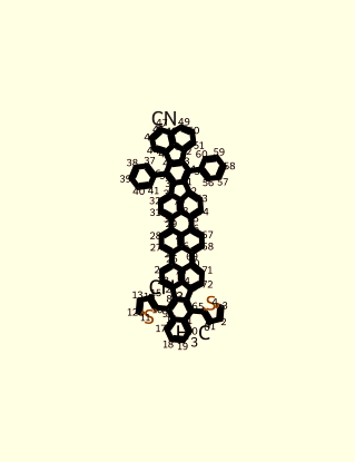 Cc1ccsc1-c1c2c(c(-c3sccc3C)c3ccccc13)-c1ccc3c4ccc5c6ccc7c8c(-c9ccccc9)c9c%10ccc(C#N)c%11cccc(c9c(-c9ccccc9)c8c8ccc(c9ccc(c%12ccc-2c1c%123)c4c95)c6c87)c%11%10